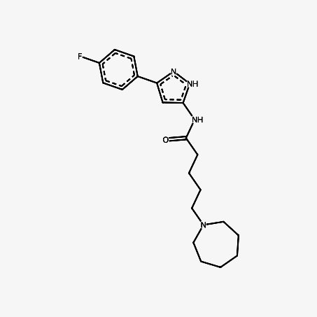 O=C(CCCCN1CCCCCC1)Nc1cc(-c2ccc(F)cc2)n[nH]1